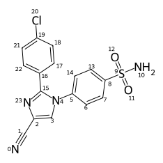 N#Cc1cn(-c2ccc(S(N)(=O)=O)cc2)c(-c2ccc(Cl)cc2)n1